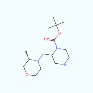 C[C@@H]1COCCN1CC1CNCCN1C(=O)OC(C)(C)C